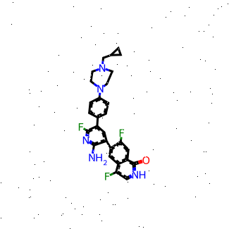 Nc1nc(F)c(-c2ccc(N3CCN(CC4CC4)CC3)cc2)cc1-c1cc2c(F)c[nH]c(=O)c2cc1F